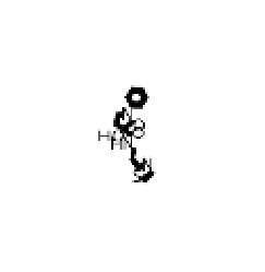 O=C(NCCc1nccs1)[C@@]1(O)CCN(c2ccccc2)C1=O